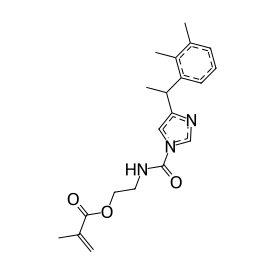 C=C(C)C(=O)OCCNC(=O)n1cnc(C(C)c2cccc(C)c2C)c1